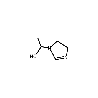 CC(O)N1C=NCC1